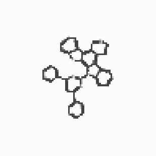 c1ccc(-c2cc(-c3ccccc3)nc(-n3c4ccccc4c4c5ccncc5c5c6ccccc6oc5c43)n2)cc1